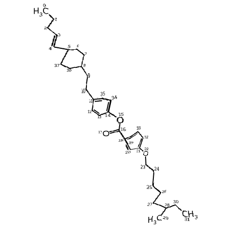 CCC/C=C/C1CCC(CCc2ccc(OC(=O)c3ccc(OCCCCCC(C)CC)cc3)cc2)CC1